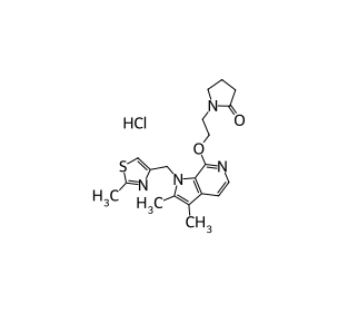 Cc1nc(Cn2c(C)c(C)c3ccnc(OCCN4CCCC4=O)c32)cs1.Cl